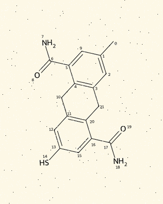 Cc1cc2c(c(C(N)=O)c1)Cc1cc(S)cc(C(N)=O)c1C2